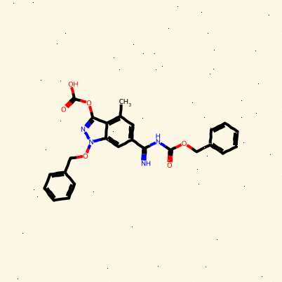 Cc1cc(C(=N)NC(=O)OCc2ccccc2)cc2c1c(OC(=O)O)nn2OCc1ccccc1